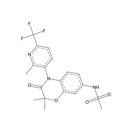 Cc1nc(C(F)(F)F)ccc1N1C(=O)C(C)(C)Oc2cc(NS(C)(=O)=O)ccc21